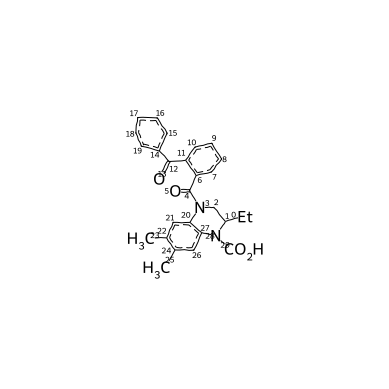 CCC1CN(C(=O)c2ccccc2C(=O)c2ccccc2)c2cc(C)c(C)cc2N1C(=O)O